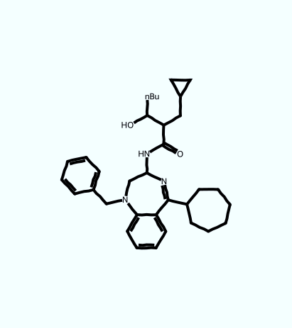 CCCCC(O)C(CC1CC1)C(=O)NC1CN(Cc2ccccc2)c2ccccc2C(C2CCCCCC2)=N1